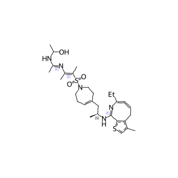 CCC1=C=CCc2c(C)csc2/C(N[C@@H](C)CC2=CCCN(S(=O)(=O)/C(C)=C(C)/N=C(\C)NC(C)O)CC2)=N\1